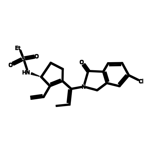 C=CC1=C(/C(=C\C)N2Cc3cc(Cl)ccc3C2=O)CC[C@H]1NS(=O)(=O)CC